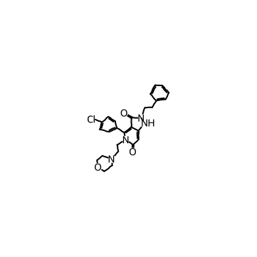 O=c1c2c(-c3ccc(Cl)cc3)n(CCN3CCOCC3)c(=O)cc2[nH]n1CCc1ccccc1